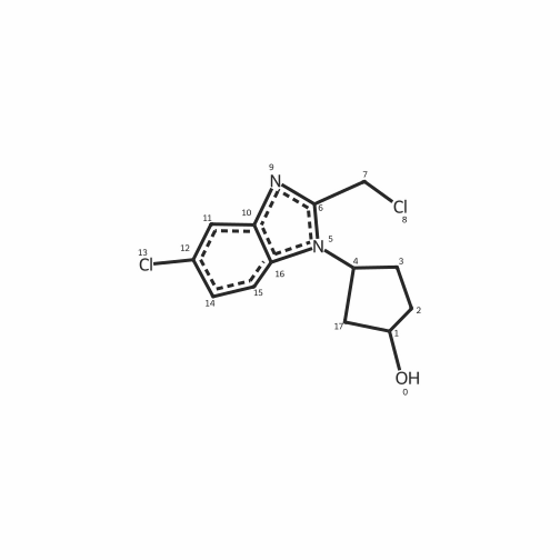 OC1CCC(n2c(CCl)nc3cc(Cl)ccc32)C1